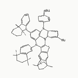 CC(C)(C)c1ccc(N2c3ccc(C(C)(C)C)cc3B3c4sc5cc6c(cc5c4N(c4ccc5c(c4)C(C)(C)CCC5(C)C)c4cc(N5c7ccccc7C7(C)CCCCC57C)cc2c43)C2(C)CCC6(C)CC2)cc1